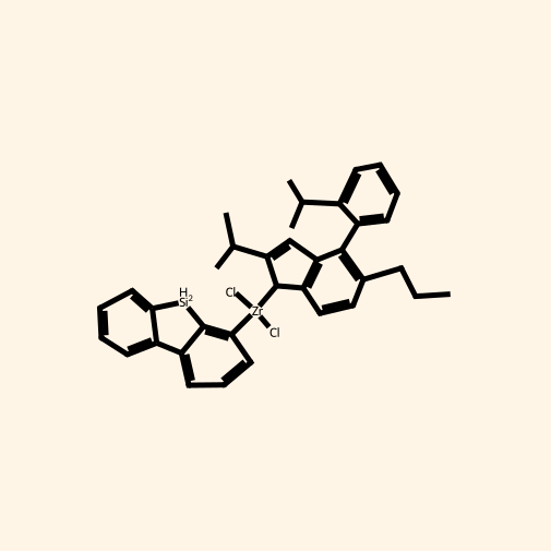 CCCc1ccc2c(c1-c1ccccc1C(C)C)C=C(C(C)C)[CH]2[Zr]([Cl])([Cl])[c]1cccc2c1[SiH2]c1ccccc1-2